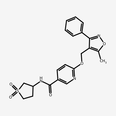 Cc1onc(-c2ccccc2)c1COc1ccc(C(=O)NC2CCS(=O)(=O)C2)cn1